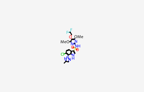 COc1nc(NS(=O)(=O)c2c[nH]c3c(-n4ncc(C)n4)c(Cl)ccc23)nc(OC)c1OCC(F)F